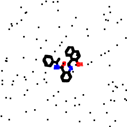 CC(NC(=O)c1ccccc1N=Cc1c(O)ccc2ccccc12)c1ccccc1